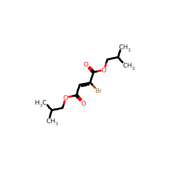 CC(C)COC(=O)/C=C(\Br)C(=O)OCC(C)C